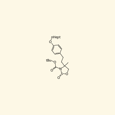 CCCCCCCOc1ccc(CCC2(C)COS(=O)N2C(=O)OC(C)(C)C)cc1